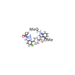 COCCn1cc(C(=O)N2CCC(c3cc(CNC(=O)C(F)(F)F)ccc3F)CC2)c2c(OC)cccc21